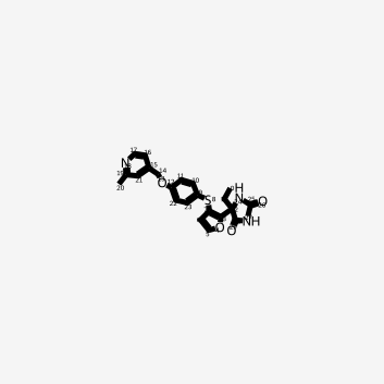 CCC1(c2occc2Sc2ccc(OCc3ccnc(C)c3)cc2)NC(=O)NC1=O